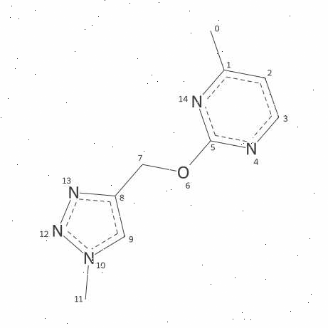 Cc1ccnc(OCc2cn(C)nn2)n1